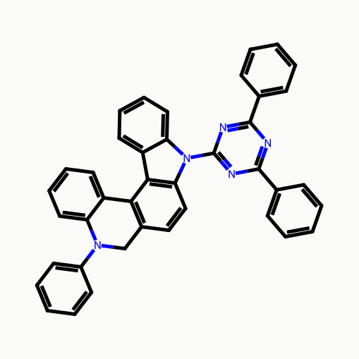 c1ccc(-c2nc(-c3ccccc3)nc(-n3c4ccccc4c4c5c(ccc43)CN(c3ccccc3)c3ccccc3-5)n2)cc1